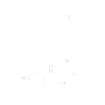 C[C@H](NC(=O)OC(C)(C)C)C(=O)[N]Cc1ccc(F)cc1